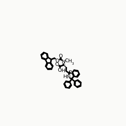 CN(C(=O)OCC1c2ccccc2-c2ccccc21)[C@@H](CCC(=O)NC(c1ccccc1)(c1ccccc1)c1ccccc1)C(=O)O